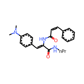 CCCNC(=O)/C(=C/c1ccc(N(C)C)cc1)NC(=O)/C=C\c1ccccc1